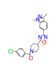 Cc1nn(C)c2cc(-c3noc(C4CCN(C(=O)c5ccc(Cl)cc5)CC4)n3)ccc12